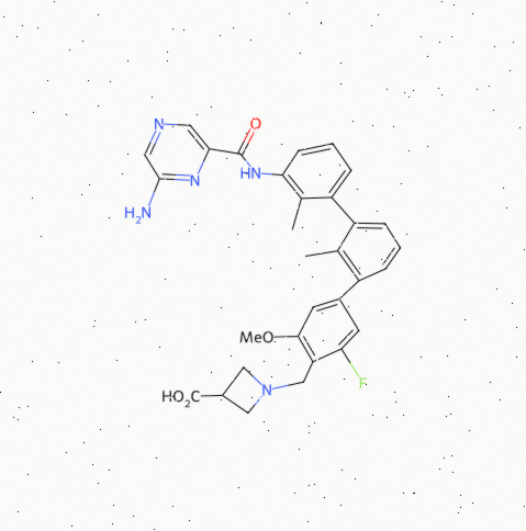 COc1cc(-c2cccc(-c3cccc(NC(=O)c4cncc(N)n4)c3C)c2C)cc(F)c1CN1CC(C(=O)O)C1